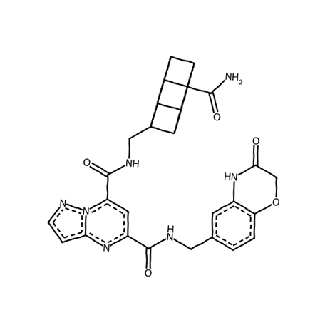 NC(=O)C12C3C4C1C1C2C3C41CNC(=O)c1cc(C(=O)NCc2ccc3c(c2)NC(=O)CO3)nc2ccnn12